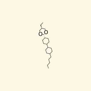 CCCCCC1CCC(C2CCC([C@H]3OC[C@H](CC)CO3)CC2)CC1